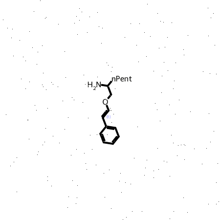 CCCCCC(N)CO/[C]=C/c1ccccc1